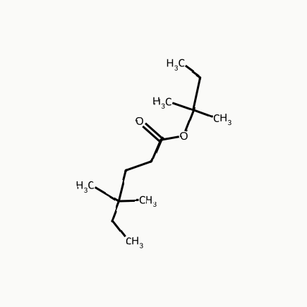 CCC(C)(C)CCC(=O)OC(C)(C)CC